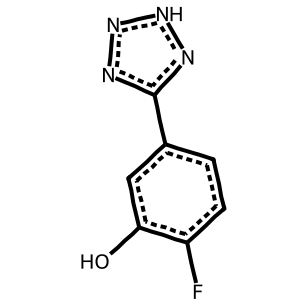 Oc1cc(-c2nn[nH]n2)ccc1F